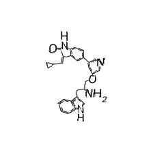 N[C@H](COc1cncc(-c2ccc3c(c2)/C(=C/C2CC2)C(=O)N3)c1)Cc1c[nH]c2ccccc12